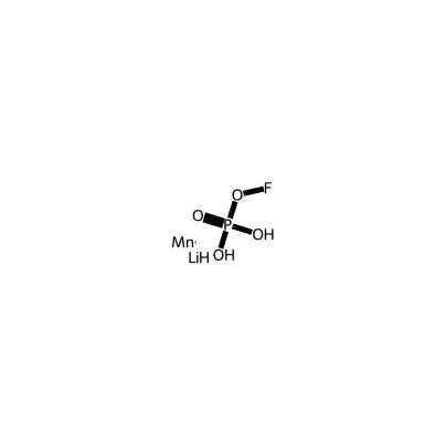 O=P(O)(O)OF.[LiH].[Mn]